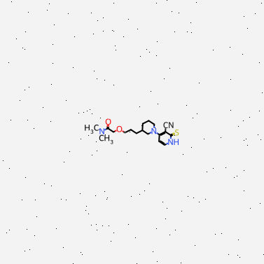 CN(C)C(=O)COCCCC1CCCN(c2cc[nH]c(=S)c2C#N)C1